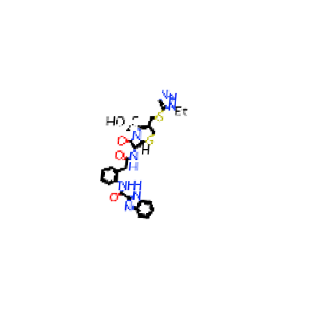 CCn1nncc1SCC1=C(C(=O)O)N2C(=O)C(NC(=O)Cc3ccccc3NC(=O)c3nc4ccccc4[nH]3)[C@H]2SC1